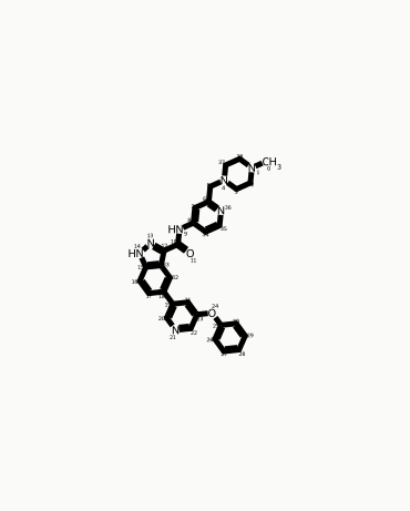 CN1CCN(Cc2cc(NC(=O)c3n[nH]c4ccc(-c5cncc(Oc6ccccc6)c5)cc34)ccn2)CC1